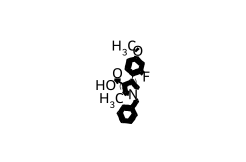 COc1ccc([C@@H]2CN(Cc3ccccc3)C(C)[C@H]2C(=O)O)c(F)c1